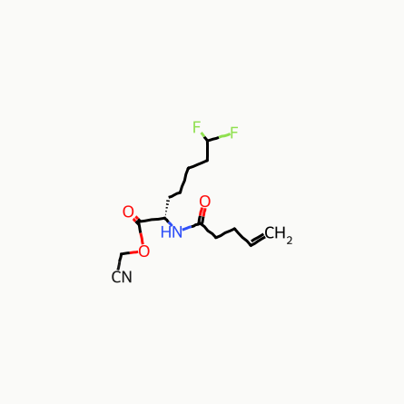 C=CCCC(=O)N[C@@H](CCCCC(F)F)C(=O)OCC#N